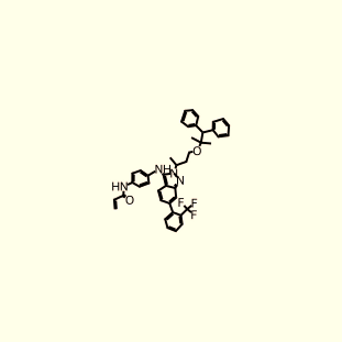 C=CC(=O)Nc1ccc(Nc2c3ccc(-c4ccccc4C(F)(F)F)cc3nn2C(C)CCOC(C)(C)C(c2ccccc2)c2ccccc2)cc1